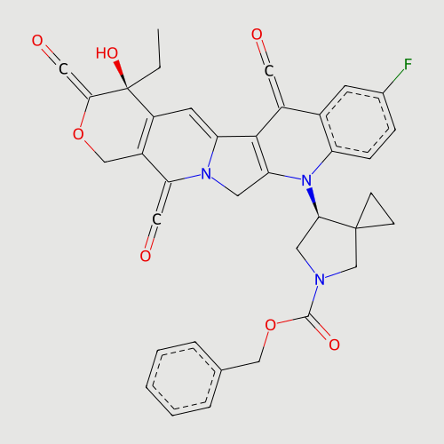 CC[C@@]1(O)C(=C=O)OCC2=C1C=C1C3=C(CN1C2=C=O)N([C@@H]1CN(C(=O)OCc2ccccc2)CC12CC2)c1ccc(F)cc1C3=C=O